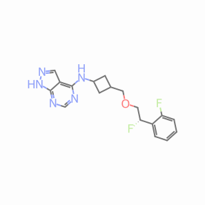 Fc1ccccc1[C@H](F)COCC1CC(Nc2ncnc3[nH]ncc23)C1